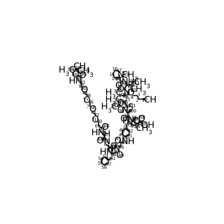 C#CCCCON(C(=O)[C@@H](NC(=O)[C@H]1CCCCN1C)[C@@H](C)CC)[C@H](C[C@@H](OC(C)=O)c1nc(C(=O)N[C@@H](Cc2ccc(NC(=O)CNC(=O)[C@H](Cc3ccccc3)NC(=O)CNC(=O)CNC(=O)CCOCCOCCOCCOCCNC(=O)OC(C)(C)C)cc2)CC(C)(C)C(=O)O)cs1)C(C)C